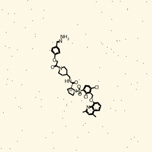 Cc1cc(C)c2cccc(OCc3c(Cl)ccc(S(=O)(=O)N4CCC[C@H]4C(=O)NCC4CCN(C(=O)COc5ccc(C=NN)cc5)CC4)c3Cl)c2n1